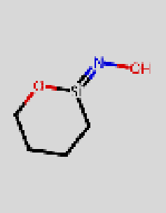 ON=[Si]1CCCCO1